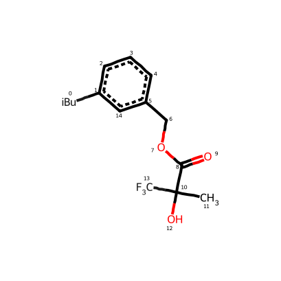 CCC(C)c1cccc(COC(=O)C(C)(O)C(F)(F)F)c1